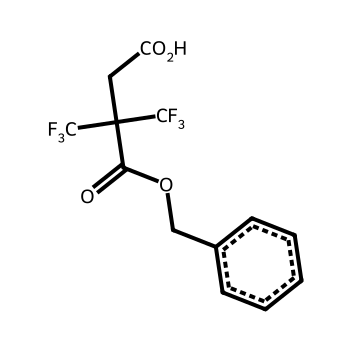 O=C(O)CC(C(=O)OCc1ccccc1)(C(F)(F)F)C(F)(F)F